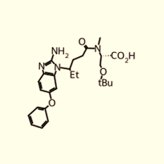 CC[C@H](CCC(=O)N(C)[C@@H](COC(C)(C)C)C(=O)O)n1c(N)nc2ccc(Oc3ccccc3)cc21